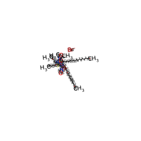 CCCCCCCCCCCCCCCCCCc1s[c+](-[c+]2sc(CCCCC)c(CCCCC)n2CC(=O)N2CC(C)OC(C)C2)n(CC(=O)N2CCOCC2)c1CCCCCCCCCCCCCCCCCC.[Br-].[Br-]